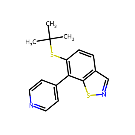 CC(C)(C)Sc1ccc2cnsc2c1-c1ccncc1